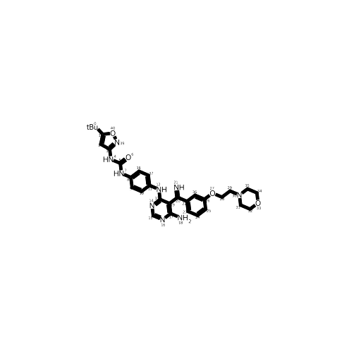 CC(C)(C)c1cc(NC(=O)Nc2ccc(Nc3ncnc(N)c3C(=N)c3cccc(OCCN4CCOCC4)c3)cc2)no1